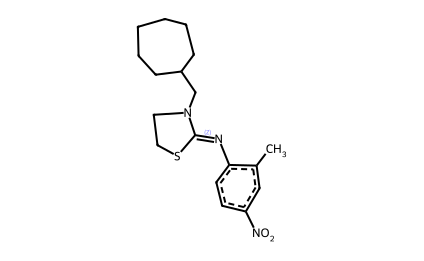 Cc1cc([N+](=O)[O-])ccc1/N=C1\SCCN1CC1CCCCCC1